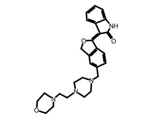 O=C1Nc2ccccc2C1=C1OCc2cc(CN3CCN(CCN4CCOCC4)CC3)ccc21